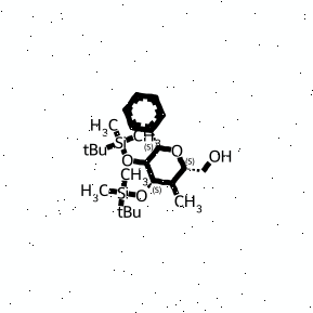 CC1[C@H](O[Si](C)(C)C(C)(C)C)C(O[Si](C)(C)C(C)(C)C)[C@H](c2ccccc2)O[C@@H]1CO